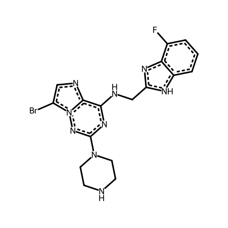 Fc1cccc2[nH]c(CNc3nc(N4CCNCC4)nn4c(Br)cnc34)nc12